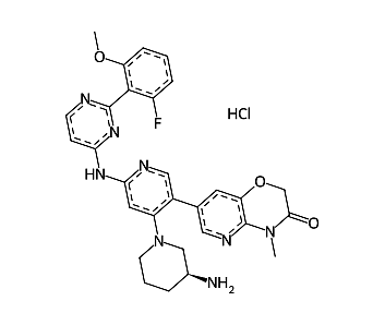 COc1cccc(F)c1-c1nccc(Nc2cc(N3CCC[C@H](N)C3)c(-c3cnc4c(c3)OCC(=O)N4C)cn2)n1.Cl